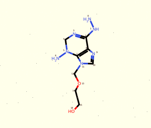 NNC1=NCN(N)c2c1ncn2COCCO